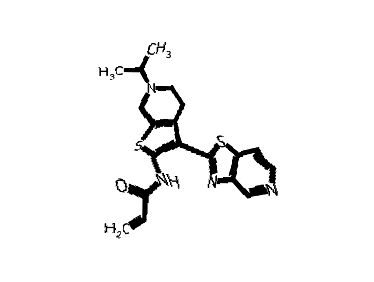 C=CC(=O)Nc1sc2c(c1-c1nc3cnccc3s1)CCN(C(C)C)C2